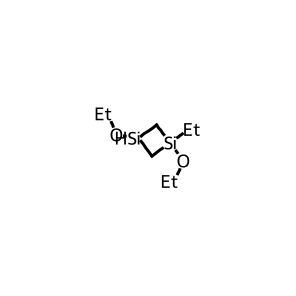 CCO[SiH]1C[Si](CC)(OCC)C1